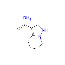 NC(=O)C1=C2CCCCN2NC1